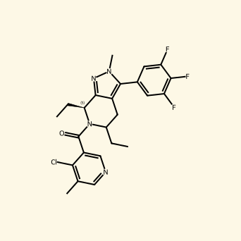 CCC1Cc2c(nn(C)c2-c2cc(F)c(F)c(F)c2)[C@H](CC)N1C(=O)c1cncc(C)c1Cl